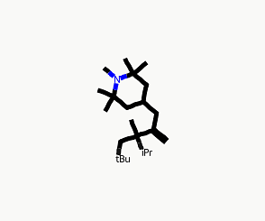 C=C(CC1CC(C)(C)N(C)C(C)(C)C1)C(C)(CC(C)(C)C)C(C)C